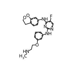 CNCCOc1cccc(Nc2ncc(F)c(Nc3ccc4c(c3)OOCC4)n2)c1